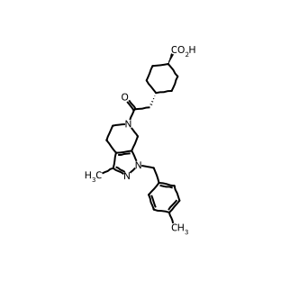 Cc1ccc(Cn2nc(C)c3c2CN(C(=O)C[C@H]2CC[C@H](C(=O)O)CC2)CC3)cc1